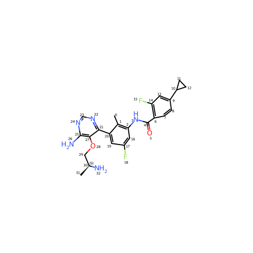 Cc1c(NC(=O)c2ccc(C3CC3)cc2F)cc(F)cc1-c1ncnc(N)c1OC[C@H](C)N